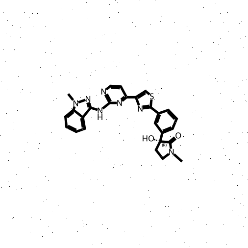 CN1CC[C@@](O)(c2cccc(-c3nc(-c4ccnc(Nc5nn(C)c6ccccc56)n4)cs3)c2)C1=O